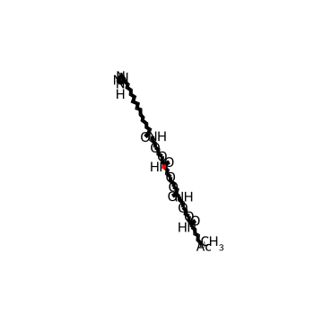 CC(=O)[C@@H](C)CCCCNC(=O)COCCOCCNC(=O)COCCOCCNC(=O)COCCOCCNC(=O)CCCCCCCCCCCCCCCc1nnn[nH]1